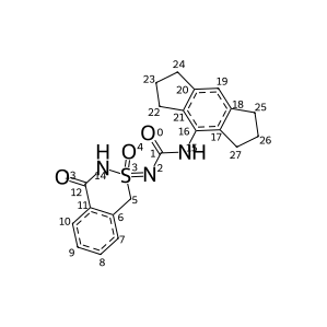 O=C(N=S1(=O)Cc2ccccc2C(=O)N1)Nc1c2c(cc3c1CCC3)CCC2